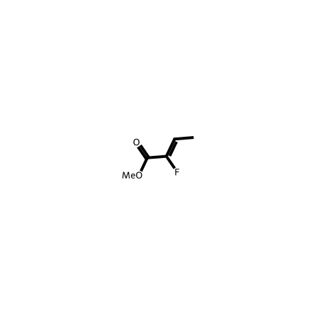 CC=C(F)C(=O)OC